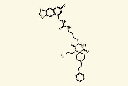 CCCN1C(=O)[C@H](CCCCNC(=O)NCc2cc(=O)oc3cc4c(cc23)OCO4)NC(=O)C12CCN(CCc1ccccc1)CC2